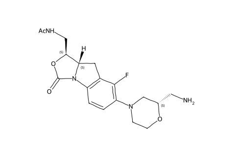 CC(=O)NC[C@@H]1OC(=O)N2c3ccc(N4CCO[C@@H](CN)C4)c(F)c3C[C@@H]12